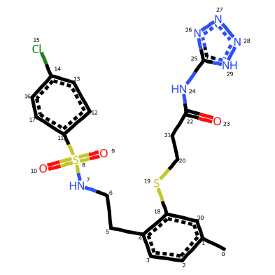 Cc1ccc(CCNS(=O)(=O)c2ccc(Cl)cc2)c(SCCC(=O)Nc2nnn[nH]2)c1